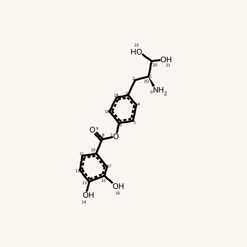 N[C@@H](Cc1ccc(OC(=O)c2ccc(O)c(O)c2)cc1)C(O)O